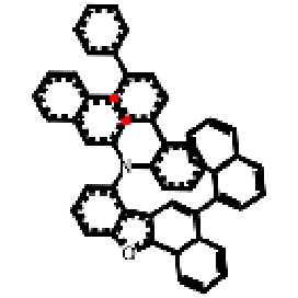 C1=CC2C=CC=C(C3=Cc4c(oc5cccc(N(c6ccc7ccccc7c6)c6ccccc6-c6ccc(-c7ccccc7)cc6)c45)C4C=CC=CC34)C2C=C1